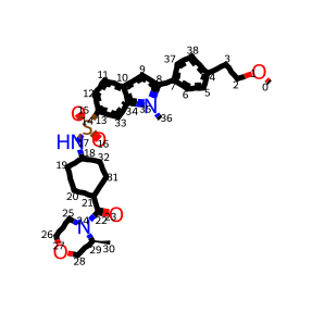 COCCc1ccc(-c2cc3ccc(S(=O)(=O)NC4CCC(C(=O)N5CCOC[C@@H]5C)CC4)cc3n2C)cc1